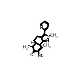 [C-]#[N+]C1=C[C@]2(C)c3nn(C)c(-c4ccccn4)c3CC[C@H]2[C@H](C)C1=O